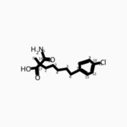 CC(CCCCCc1ccc(Cl)cc1)(C(N)=O)C(=O)O